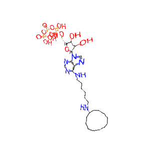 O=P(O)(O)OP(=O)(O)OP(=O)(O)OC[C@H]1O[C@@H](n2cnc3c(NCCCCCCNC4CCCCCCCCCCC4)ncnc32)C(O)C1O